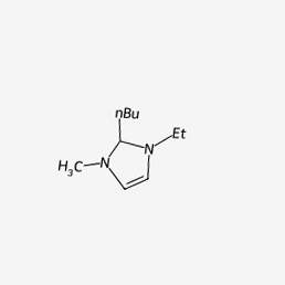 CCCCC1N(C)C=CN1CC